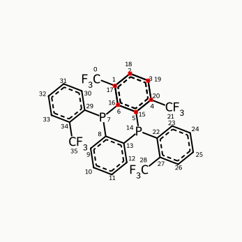 FC(F)(F)c1ccccc1P(c1ccccc1P(c1ccccc1C(F)(F)F)c1ccccc1C(F)(F)F)c1ccccc1C(F)(F)F